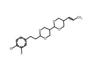 C/C=C/C1COC(C2COC(CCc3ccc(Cl)c(F)c3)OC2)OC1